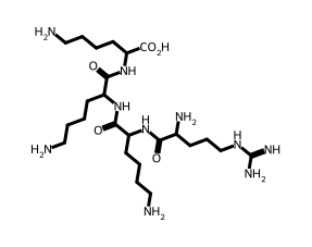 N=C(N)NCCCC(N)C(=O)NC(CCCCN)C(=O)NC(CCCCN)C(=O)NC(CCCCN)C(=O)O